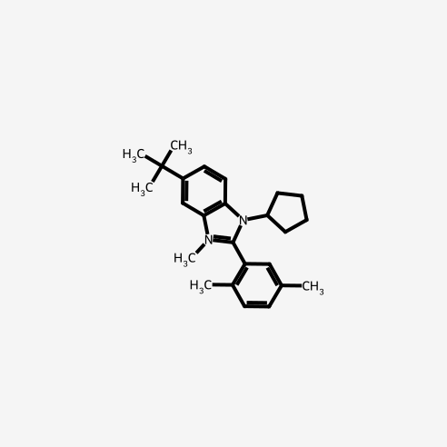 Cc1ccc(C)c(-c2n(C3CCCC3)c3ccc(C(C)(C)C)cc3[n+]2C)c1